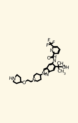 CC(C)(O)c1cc2nn(C3CCN(CCOC4CCNCC4)CC3)cc2cc1NC(=O)c1cccc(C(F)(F)F)n1